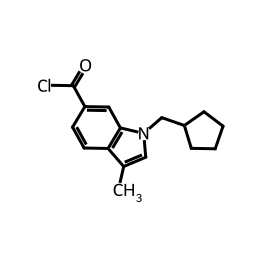 Cc1cn(CC2CCCC2)c2cc(C(=O)Cl)ccc12